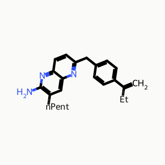 C=C(CC)c1ccc(Cc2ccc3nc(N)c(CCCCC)cc3n2)cc1